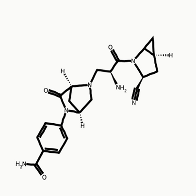 N#C[C@@H]1C[C@@H]2CC2N1C(=O)[C@@H](N)CN1C[C@@H]2C[C@H]1C(=O)N2c1ccc(C(N)=O)cc1